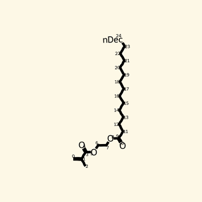 C=C(C)C(=O)OCCOC(=O)CCCCCCCCCCCCCCCCCCCCCCC